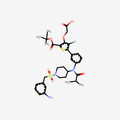 CC(C)C(=O)N(c1cccc(-c2sc(C(=O)OC(C)(C)C)c(OCC(=O)O)c2Cl)c1)C1CCN(S(=O)(=O)Cc2cccc(N)c2)CC1